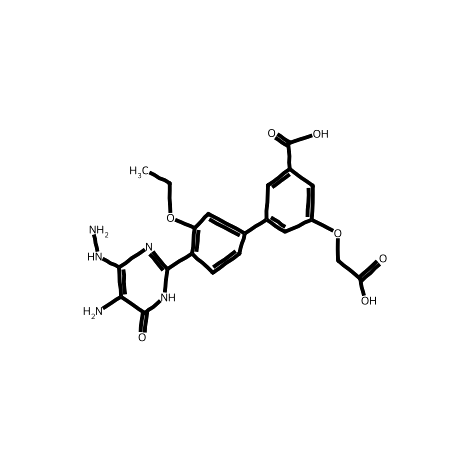 CCOc1cc(-c2cc(OCC(=O)O)cc(C(=O)O)c2)ccc1-c1nc(NN)c(N)c(=O)[nH]1